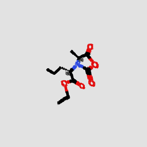 CCC[C@@H](C(=O)OCC)N1C(=O)OC(=O)[C@@H]1C